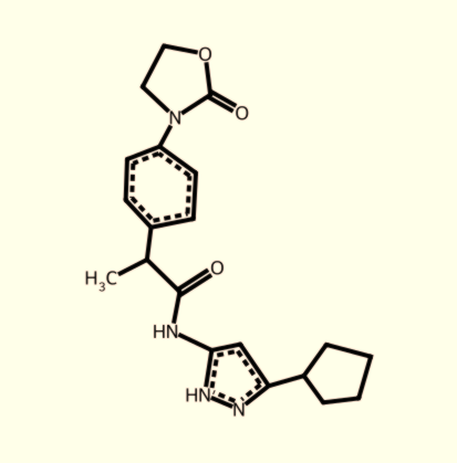 CC(C(=O)Nc1cc(C2CCCC2)n[nH]1)c1ccc(N2CCOC2=O)cc1